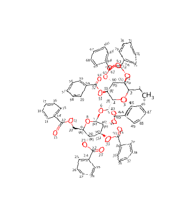 CCC1O[C@H](CO[C@@H]2O[C@H](COC(=O)c3ccccc3)[C@@H](OC(=O)c3ccccc3)[C@H](OC(=O)c3ccccc3)[C@H]2OC(=O)c2ccccc2)[C@@H](OC(=O)c2ccccc2)[C@H](OC(=O)c2ccccc2)[C@H]1OC(=O)c1ccccc1